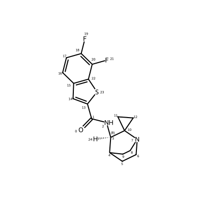 O=C(N[C@@H]1C2CCN(CC2)C12CC2)c1cc2ccc(F)c(F)c2s1